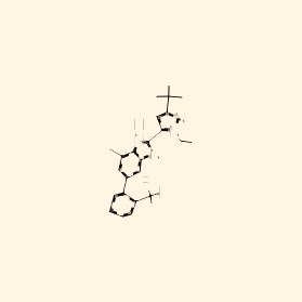 CCn1nc(C(C)(C)C)cc1-c1nc2cc(-c3ccccc3C(F)(F)F)cc(C)c2[nH]1